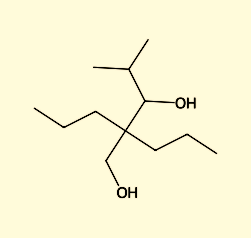 CCCC(CO)(CCC)C(O)C(C)C